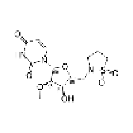 CO[C@@H]1[C@H](O)[C@@H](CN2CCCS2(=O)=O)O[C@H]1n1ccc(=O)[nH]c1=O